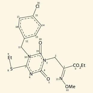 CCOC(=O)C(Cn1c(=O)nc(SCC)n(Cc2ccc(Cl)cc2)c1=O)=NOC